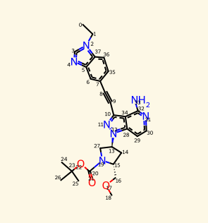 CCn1cnc2cc(C#Cc3nn([C@H]4C[C@H](COC)N(C(=O)OC(C)(C)C)C4)c4ccnc(N)c34)ccc21